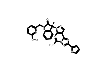 COc1cccc(CNC(=O)[C@@](C)(c2ccccc2)n2ncc3c2nc(N)n2nc(-c4ccco4)nc32)n1